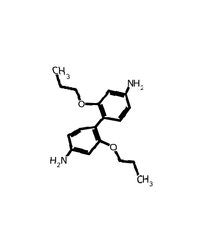 CCCOc1cc(N)ccc1-c1ccc(N)cc1OCCC